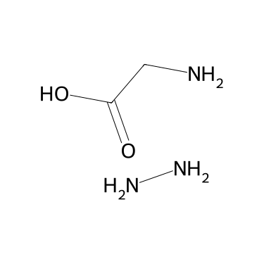 NCC(=O)O.NN